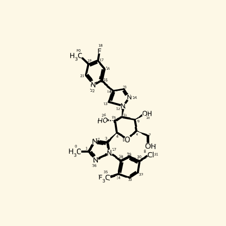 Cc1nc([C@@H]2O[C@H](CO)[C@H](O)[C@H](n3cc(-c4cc(F)c(C)cn4)cn3)[C@H]2O)n(-c2cc(Cl)ccc2C(F)(F)F)n1